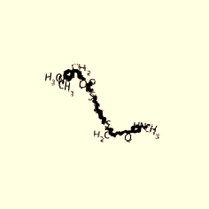 C=C(CCCCC(=O)c1ccc(NC)cc1)CCSCCCCCCCCSCCC(=O)OCCCC(=C)c1ccc(N(C)C)cc1